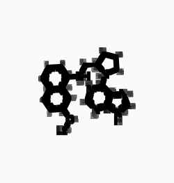 CCOc1ccc2cccc(NC[C@H]3CCCN3c3ncnc4[nH]cnc34)c2c1